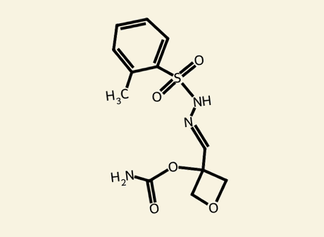 Cc1ccccc1S(=O)(=O)NN=CC1(OC(N)=O)COC1